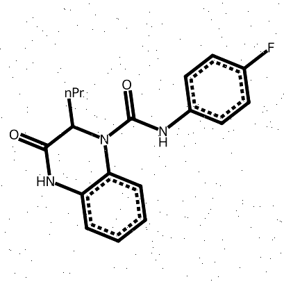 CCCC1C(=O)Nc2ccccc2N1C(=O)Nc1ccc(F)cc1